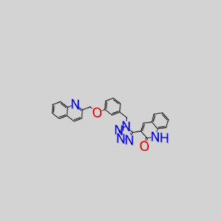 O=c1[nH]c2ccccc2cc1-c1nnnn1Cc1cccc(OCc2ccc3ccccc3n2)c1